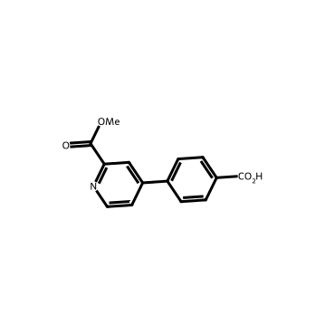 COC(=O)c1cc(-c2ccc(C(=O)O)cc2)ccn1